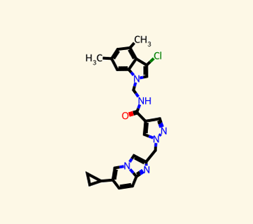 Cc1cc(C)c2c(Cl)cn(CNC(=O)c3cnn(Cc4cn5cc(C6CC6)ccc5n4)c3)c2c1